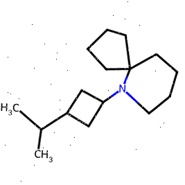 CC(C)C1CC(N2CCCCC23CCCC3)C1